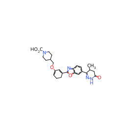 CC1CC(=O)NN=C1c1ccc2nc(C3=CC(OCC4CCN(C(=O)O)CC4)=CCC3)oc2c1